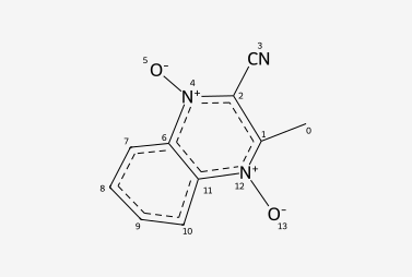 Cc1c(C#N)[n+]([O-])c2ccccc2[n+]1[O-]